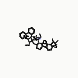 C=CC1C2C(c3ccccc3-c3cccc[n+]32)C12Cc1ccc3c(oc4c3ccc3sc(C)c(C)c34)c1/C(=C/C)[N+]2(C)C